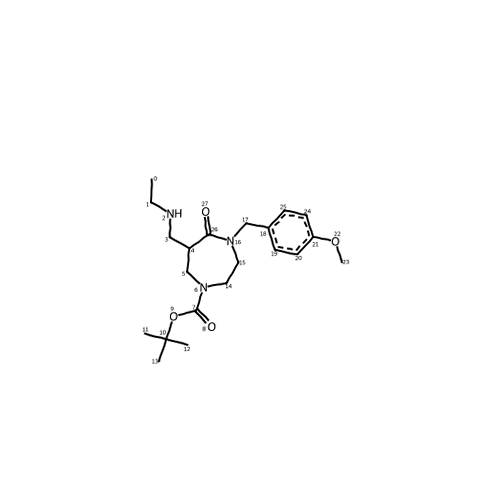 CCNCC1CN(C(=O)OC(C)(C)C)CCN(Cc2ccc(OC)cc2)C1=O